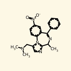 CC1N=C(c2ccccc2)c2cc([N+](=O)[O-])ccc2-n2c(CN(C)C)cnc21